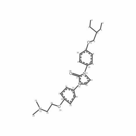 CCC(CC)COc1ccc(-n2ccn(-c3ccc(OCCN(C)C)cc3)c2=O)cc1